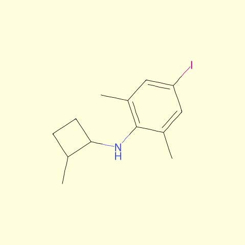 Cc1cc(I)cc(C)c1NC1CCC1C